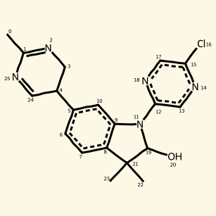 CC1=NCC(c2ccc3c(c2)N(c2cnc(Cl)cn2)C(O)C3(C)C)C=N1